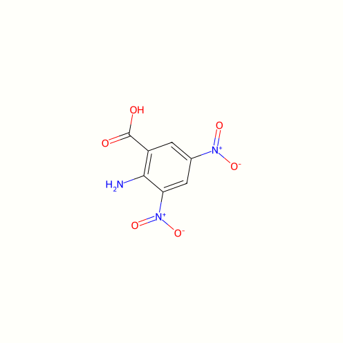 Nc1c(C(=O)O)cc([N+](=O)[O-])cc1[N+](=O)[O-]